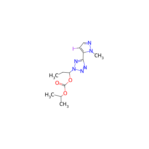 CCC(OC(=O)OC(C)C)n1nnc(-c2c(I)cnn2C)n1